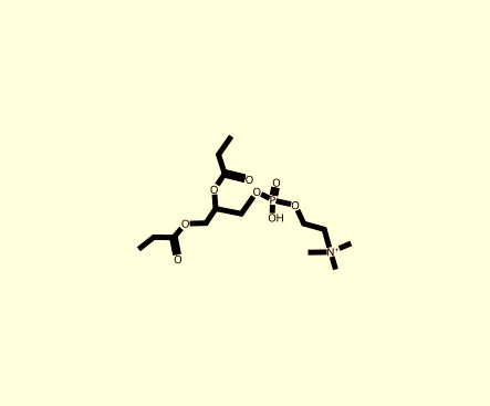 CCC(=O)OCC(COP(=O)(O)OCC[N+](C)(C)C)OC(=O)CC